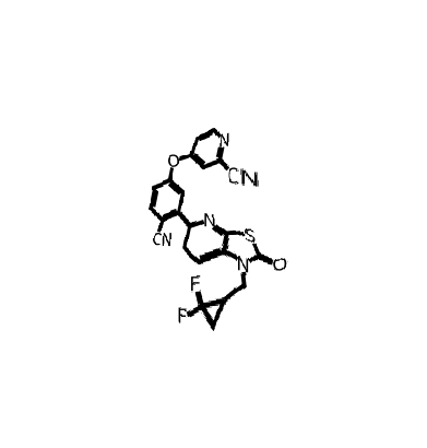 N#Cc1cc(Oc2ccc(C#N)c(C3CC=c4c(sc(=O)n4CC4CC4(F)F)=N3)c2)ccn1